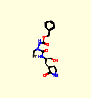 CC(C)CN(NC(=O)OCc1ccccc1)C(=O)N[C@H](CO)C[C@@H]1CCNC1=O